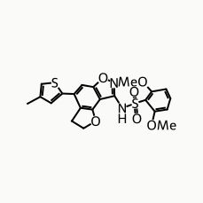 COc1cccc(OC)c1S(=O)(=O)Nc1noc2cc(-c3cc(C)cs3)c3c(c12)OCC3